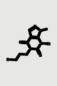 CCn1c(=O)n(CCCBr)c(=O)c2cnn(C)c21